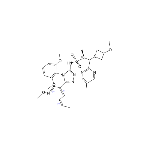 C\C=C/C=C(\C=N\OC)c1nnc(NS(=O)(=O)[C@@H](C)C(c2ncc(C)cn2)N2CC(OC)C2)n1-c1c(OC)cccc1OC